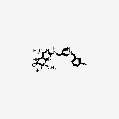 Cc1nc(NCc2cnn(Cc3cccc(F)c3)c2)nc2c1NC(=O)[C@H](C(C)C)N2C